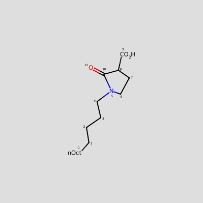 CCCCCCCCCCCCN1CCC(C(=O)O)C1=O